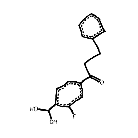 O=C(CCc1ccccc1)c1ccc(C(O)O)c(F)c1